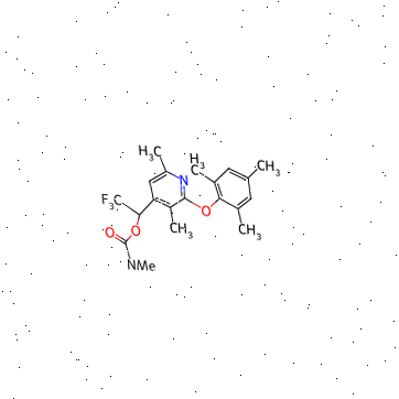 CNC(=O)OC(c1cc(C)nc(Oc2c(C)cc(C)cc2C)c1C)C(F)(F)F